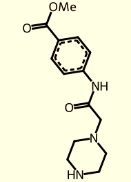 COC(=O)c1ccc(NC(=O)CN2CCNCC2)cc1